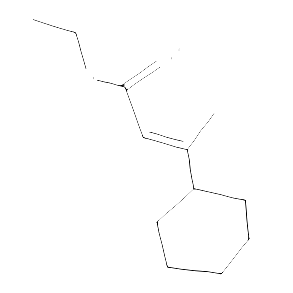 CCOC(=O)C=C(C)C1CCCCC1